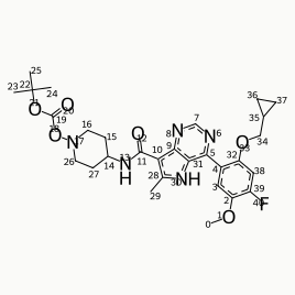 COc1cc(-c2ncnc3c(C(=O)NC4CCN(OC(=O)OC(C)(C)C)CC4)c(C)[nH]c23)c(OCC2CC2)cc1F